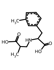 Cc1cccc(CC(NCC(C)C(=O)O)C(=O)O)c1